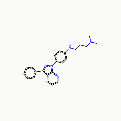 CN(C)CCCNc1ccc(-n2nc(-c3ccccc3)c3cccnc32)cc1